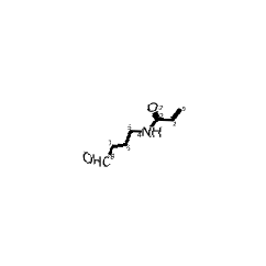 C=CC(=O)NCCCC=O